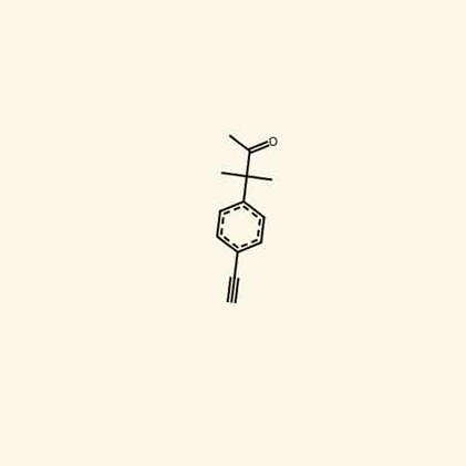 C#Cc1ccc(C(C)(C)C(C)=O)cc1